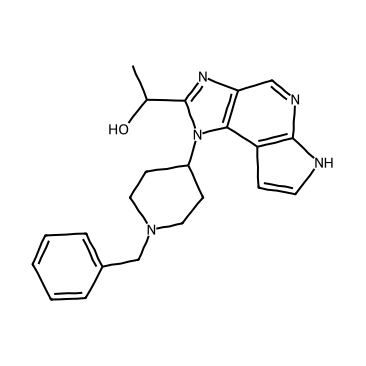 CC(O)c1nc2cnc3[nH]ccc3c2n1C1CCN(Cc2ccccc2)CC1